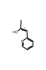 C/C(O)=C/c1ccccn1